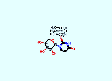 CC(=O)O.CC(=O)O.CC(=O)O.O=c1ccn([C@H]2OC[C@H](O)[C@H](O)[C@@H]2O)c(=O)[nH]1